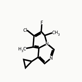 CC1=C2C(C3CC3)=CN=CN2C(C)C(F)=C1Cl